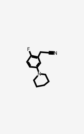 N#CCc1cc(N2CCCCC2)ccc1F